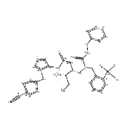 CC[C@H](C)[C@@H](CN(Cc1ccccc1C(F)(F)F)C(=S)NCc1ccccc1)NC(=O)Cc1cncn1Cc1ccc(C#N)cc1